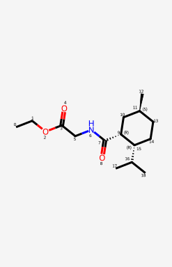 CCOC(=O)CNC(=O)[C@@H]1C[C@@H](C)CC[C@@H]1C(C)C